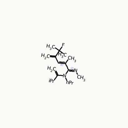 C=C(C(C)C)N(CCC)C(=N\C)/C(C)=C/C(=C)C(C)(C)F